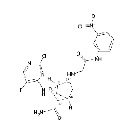 NC(=O)[C@H]1[C@H]2C[C@@H]([C@H]1Nc1nc(Cl)ncc1F)[C@H](NCC(=O)Nc1cccc([N+](=O)[O-])c1)C2